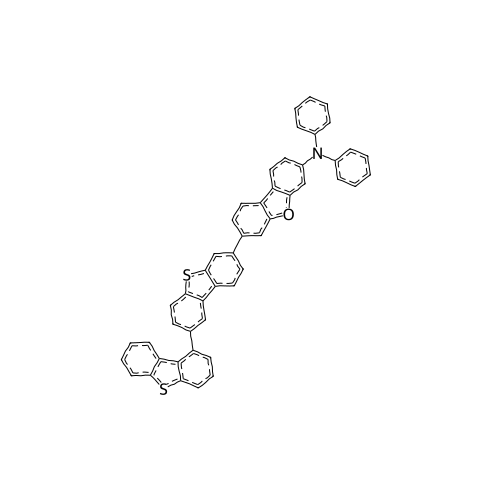 c1ccc(N(c2ccccc2)c2ccc3c(c2)oc2cc(-c4ccc5c(c4)sc4ccc(-c6cccc7sc8ccccc8c67)cc45)ccc23)cc1